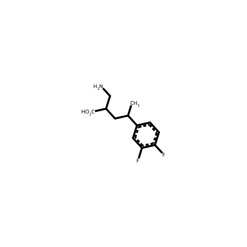 CC(CC(CN)C(=O)O)c1ccc(F)c(F)c1